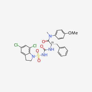 COc1ccc(N(C)C(=O)[C@H](Cc2ccccc2)NC(=O)NS(=O)(=O)N2CCc3cc(Cl)cc(Cl)c32)cc1